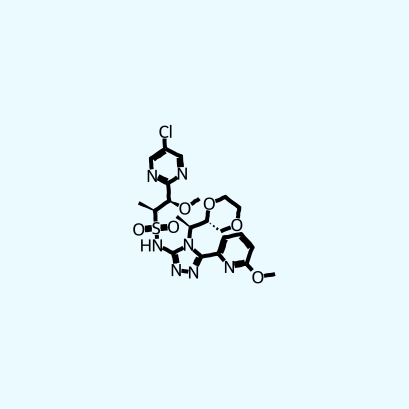 COc1cccc(-c2nnc(NS(=O)(=O)[C@@H](C)[C@H](OC)c3ncc(Cl)cn3)n2[C@@H](C)[C@H]2COCCO2)n1